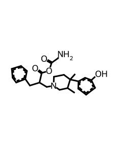 CC1CN(CC(Cc2ccccc2)C(=O)OC(=O)CN)CCC1(C)c1cccc(O)c1